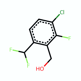 OCc1c(C(F)F)ccc(Cl)c1F